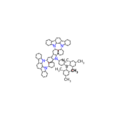 Cc1cc(C)c(B(c2ccc(-n3c4ccc(-n5c6ccccc6c6ccc7c8ccccc8n(-c8ccccc8)c7c65)cc4c4cc(-n5c6ccccc6c6ccc7c8ccccc8n(-c8ccccc8)c7c65)ccc43)cc2)c2c(C)cc(C)cc2C)c(C)c1